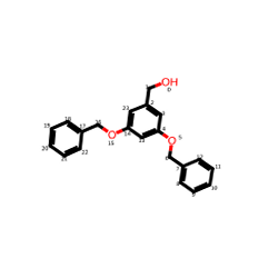 OCc1cc(OCc2ccccc2)cc(OCc2ccccc2)c1